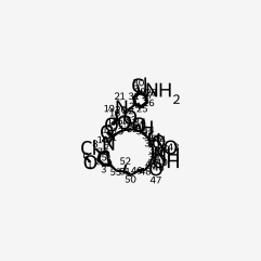 COc1cc2cc(c1Cl)N(C)C(=O)C[C@H](OC(=O)[C@H](C)N(C)C(=O)c1ccc(N)c(Cl)c1)[C@]1(C)O[C@H]1C[C@@H]1C[C@@](O)(NC(=O)O1)[C@H](OC)/C=C/C=C(\C)C2